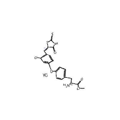 COC(=O)[C@@H](N)Cc1ccc(Oc2ccc(/C=C3/SC(=S)NC3=O)c(Cl)c2)cc1.Cl